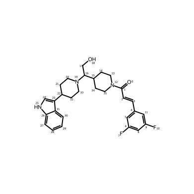 O=C(/C=C/c1cc(F)cc(F)c1)N1CCC(C(CO)N2CCC(c3c[nH]c4ccccc34)CC2)CC1